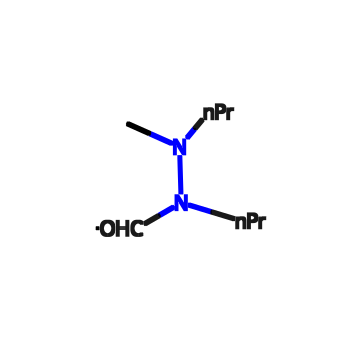 CCCN(C)N([C]=O)CCC